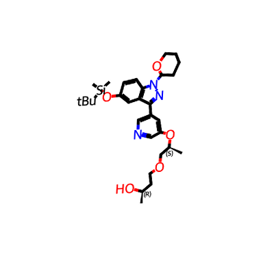 C[C@@H](O)CCOC[C@H](C)Oc1cncc(-c2nn(C3CCCCO3)c3ccc(O[Si](C)(C)C(C)(C)C)cc23)c1